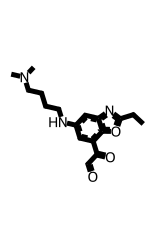 CCc1nc2cc(NCCCCN(C)C)cc(C(=O)C=O)c2o1